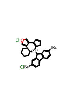 CC(C)(C)c1ccc2c(c1)[CH]([Zr+2]([C]1=C(c3ccoc3)C=CC1)=[C]1CCCCC1)c1cc(C(C)(C)C)ccc1-2.[Cl-].[Cl-]